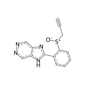 C#CC[S+]([O-])c1ccccc1-c1nc2cnncc2[nH]1